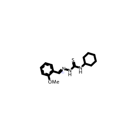 COc1ccccc1/C=N/NC(=S)NC1CCCCC1